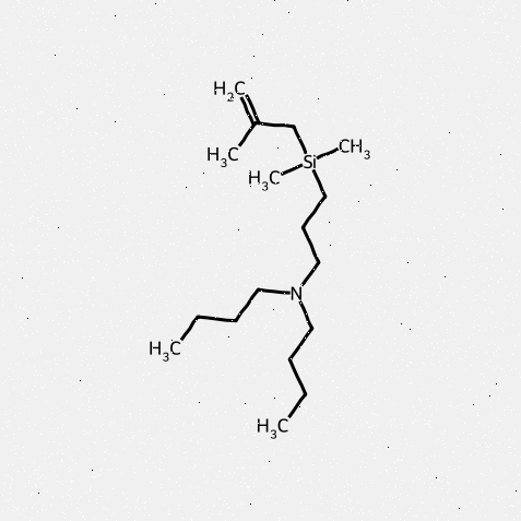 C=C(C)C[Si](C)(C)CCCN(CCCC)CCCC